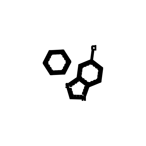 Clc1ccc2ncsc2c1.c1ccccc1